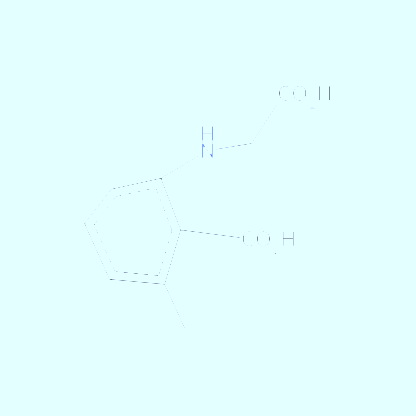 Cc1cccc(NCC(=O)O)c1C(=O)O